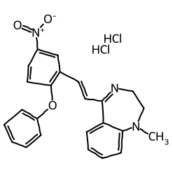 CN1CCN=C(C=Cc2cc([N+](=O)[O-])ccc2Oc2ccccc2)c2ccccc21.Cl.Cl